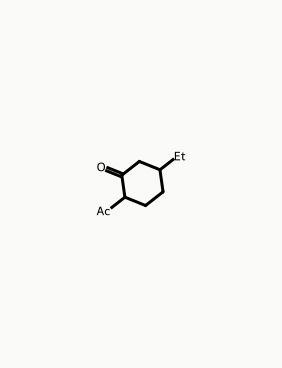 CCC1CCC(C(C)=O)C(=O)C1